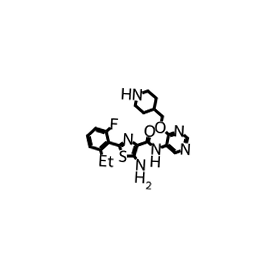 CCc1cccc(F)c1-c1nc(C(=O)Nc2cncnc2OCC2CCNCC2)c(N)s1